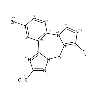 O=Cc1nc2n(n1)Cc1c(Cl)ncn1-c1ccc(Br)cc1-2